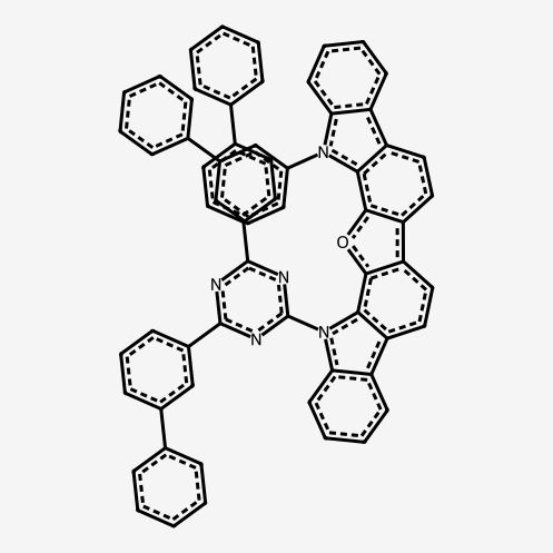 c1ccc(-c2ccc(-c3nc(-c4cccc(-c5ccccc5)c4)nc(-n4c5ccccc5c5ccc6c7ccc8c9ccccc9n(-c9cccc(-c%10ccccc%10)c9)c8c7oc6c54)n3)cc2)cc1